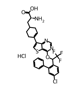 Cl.N[C@@H](CC1CC=C(c2csc3c(OC(c4ccc(Cl)cc4-c4ccccc4)C(F)(F)F)ncnc23)CC1)C(=O)O